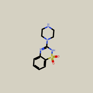 O=S1(=O)NC(N2CCNCC2)=Nc2ccccc21